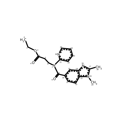 CCOC(=O)CCN(C(=O)c1ccc2c(c1)nc(C)n2C)c1ccccn1